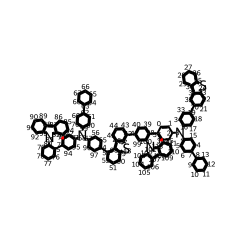 C1=CC(N(c2ccc(-c3ccccc3)cc2)c2ccc(-c3ccc4sc5ccccc5c4c3)cc2)CC=C1c1ccc(-c2cccc3c2sc2cccc(-c4ccc(N(c5ccc(-c6ccccc6)cc5)c5ccc(-c6ccccc6-n6c7ccccc7c7ccccc76)cc5)cc4)c23)cc1-n1c2ccccc2c2ccccc21